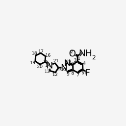 NC(=O)c1cc(F)cc2cn(C3CCN(C4CCCCC4)C3)nc12